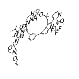 C=CCOCN1CCOC2(C1)CN(C(=O)N(C)[C@H](C(=O)N[C@H]1Cc3cccc(c3)-c3ccc4c(c3)c(c(-c3cccnc3[C@H](C)OC)n4CC(F)(F)F)CC(C)(C)COC(=O)[C@@H]3CCCN(N3)C1=O)C(C)C)C2